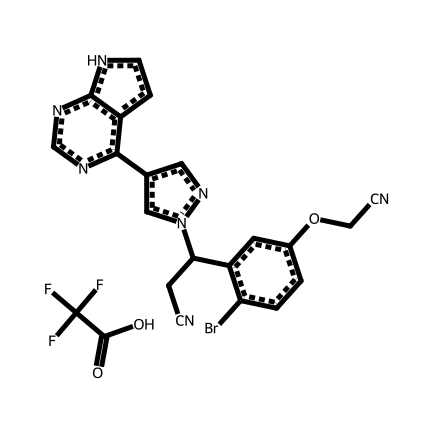 N#CCOc1ccc(Br)c(C(CC#N)n2cc(-c3ncnc4[nH]ccc34)cn2)c1.O=C(O)C(F)(F)F